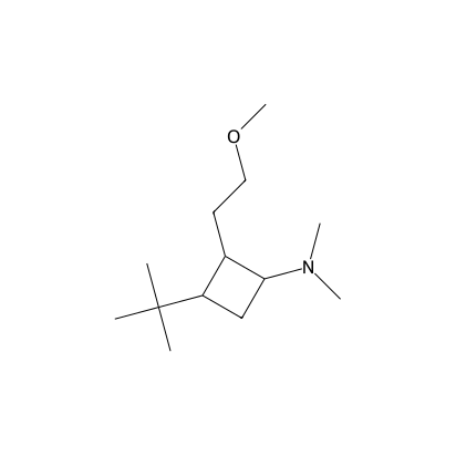 COCCC1C(N(C)C)CC1C(C)(C)C